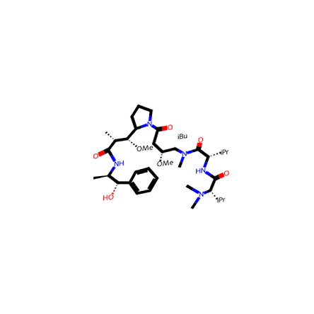 CC[C@H](C)C([C@@H](CC(=O)N1CCCC1[C@H](OC)[C@@H](C)C(=O)N[C@H](C)[C@@H](O)c1ccccc1)OC)N(C)C(=O)[C@@H](NC(=O)[C@H](C(C)C)N(C)C)C(C)C